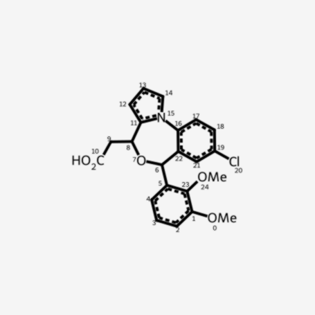 COc1cccc(C2OC(CC(=O)O)c3cccn3-c3ccc(Cl)cc32)c1OC